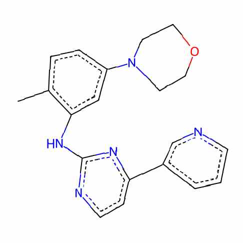 Cc1ccc(N2CCOCC2)cc1Nc1nccc(-c2cccnc2)n1